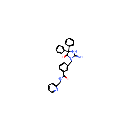 N=C1NC(c2ccccc2)(c2ccccc2)C(=O)N1Cc1cccc(C(=O)NCc2ccccn2)c1